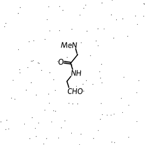 CNCC(=O)NC[C]=O